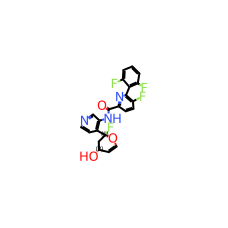 O=C(Nc1cnccc1[C@@]1(F)C[C@@H](O)C=CO1)c1ccc(F)c(-c2c(F)cccc2F)n1